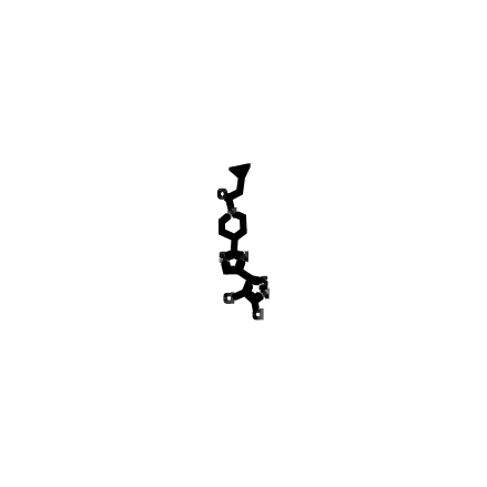 O=C(CC1CC1)N1CCC(c2nc(-c3snc(Cl)c3Cl)cs2)CC1